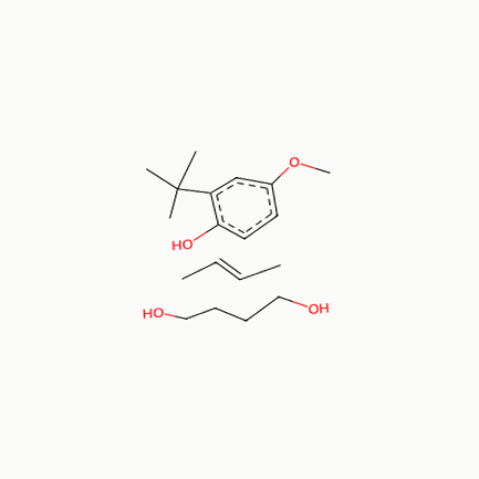 CC=CC.COc1ccc(O)c(C(C)(C)C)c1.OCCCCO